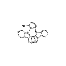 N#Cc1cccc(-n2c3ccccc3c3ccccc32)c1-n1c2ccccc2c2ccccc21